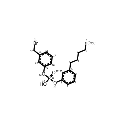 CCCCCCCCCCCCCCc1cccc(OP(=O)(O)Oc2cccc(CBr)c2)c1